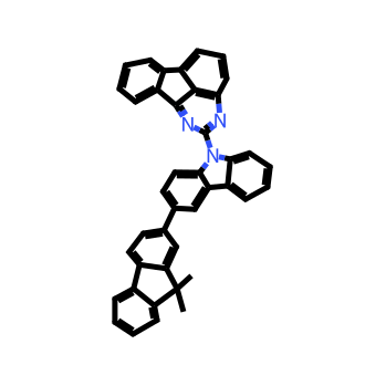 CC1(C)c2ccccc2-c2ccc(-c3ccc4c(c3)c3ccccc3n4-c3nc4c5c(cccc5n3)-c3ccccc3-4)cc21